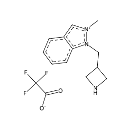 C[n+]1cc2ccccc2n1CC1CNC1.O=C([O-])C(F)(F)F